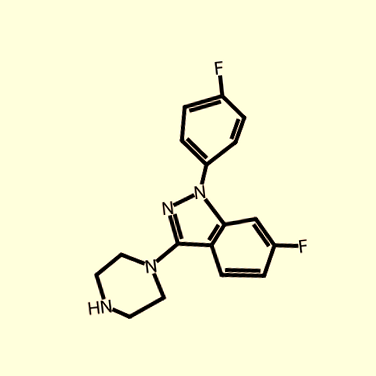 Fc1ccc(-n2nc(N3CCNCC3)c3ccc(F)cc32)cc1